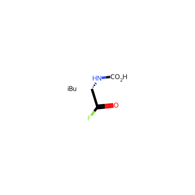 CC[C@H](C)[C@H](NC(=O)O)C(=O)F